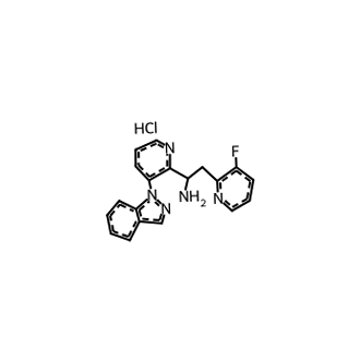 Cl.NC(Cc1ncccc1F)c1ncccc1-n1ncc2ccccc21